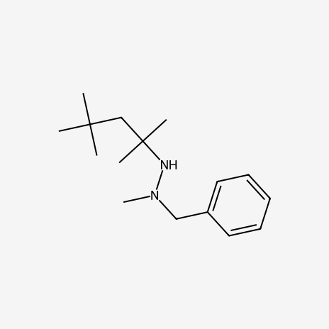 CN(Cc1ccccc1)NC(C)(C)CC(C)(C)C